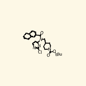 CC(C)(C)OC(=O)N1CCC(CN(C(=O)c2ccc3ccccc3c2)c2ccnc(Cl)n2)CC1